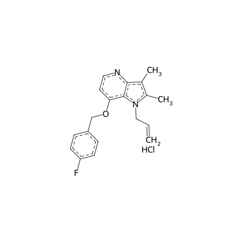 C=CCn1c(C)c(C)c2nccc(OCc3ccc(F)cc3)c21.Cl